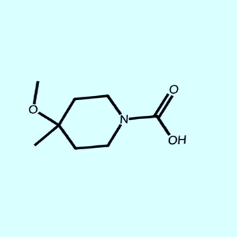 COC1(C)CCN(C(=O)O)CC1